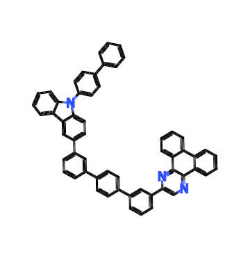 c1ccc(-c2ccc(-n3c4ccccc4c4cc(-c5cccc(-c6ccc(-c7cccc(-c8cnc9c%10ccccc%10c%10ccccc%10c9n8)c7)cc6)c5)ccc43)cc2)cc1